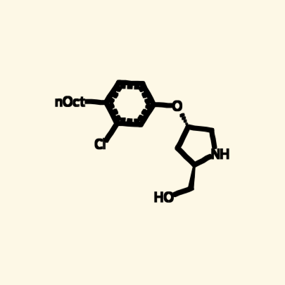 CCCCCCCCc1ccc(O[C@@H]2CN[C@@H](CO)C2)cc1Cl